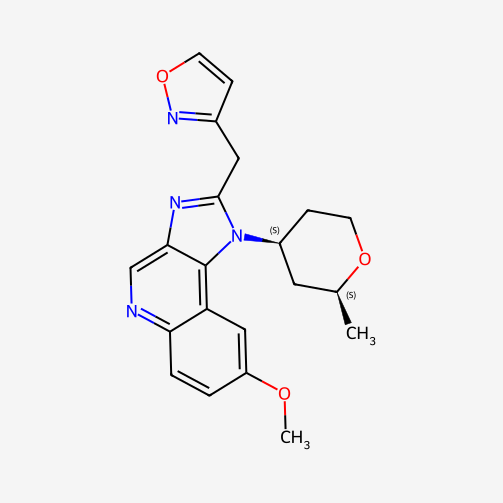 COc1ccc2ncc3nc(Cc4ccon4)n([C@H]4CCO[C@@H](C)C4)c3c2c1